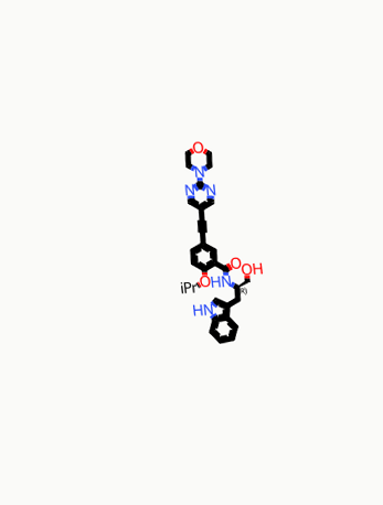 CC(C)Oc1ccc(C#Cc2cnc(N3CCOCC3)nc2)cc1C(=O)N[C@@H](CO)Cc1c[nH]c2ccccc12